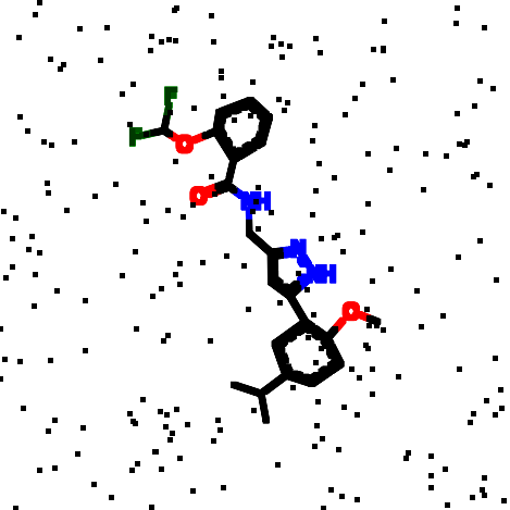 COc1ccc(C(C)C)cc1-c1cc(CNC(=O)c2ccccc2OC(F)F)n[nH]1